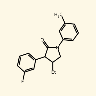 CCC1CN(c2cccc(C)c2)C(=O)C1c1cccc(F)c1